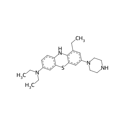 CCc1cc(N2CCNCC2)cc2c1Nc1ccc(N(CC)CC)cc1S2